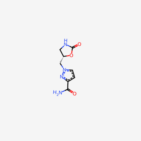 NC(=O)c1ccn(C[C@@H]2CNC(=O)O2)n1